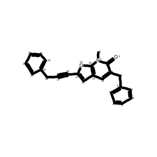 Cn1c(=O)c(Cc2ccccc2)cc2cc(C#CCc3ccccc3)oc21